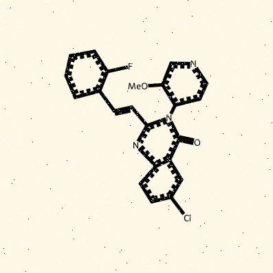 COc1cnccc1-n1c(C=Cc2ccccc2F)nc2ccc(Cl)cc2c1=O